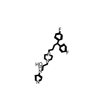 OC(CNc1ccncc1)CN1CCN(CCCC(c2ccc(F)cc2)c2ccc(F)cc2)CC1